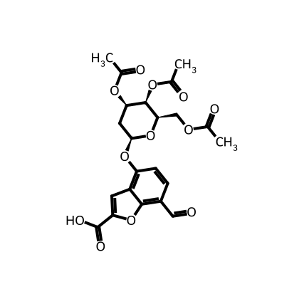 CC(=O)OC[C@H]1O[C@@H](Oc2ccc(C=O)c3oc(C(=O)O)cc23)C[C@@H](OC(C)=O)[C@H]1OC(C)=O